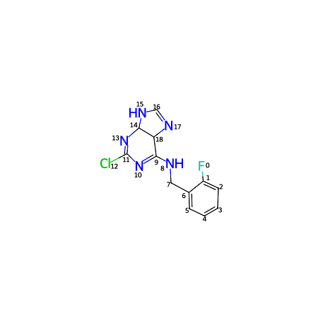 Fc1ccccc1CNC1=NC(Cl)=NC2NC=NC12